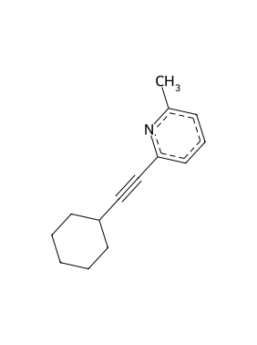 Cc1cccc(C#CC2CCCCC2)n1